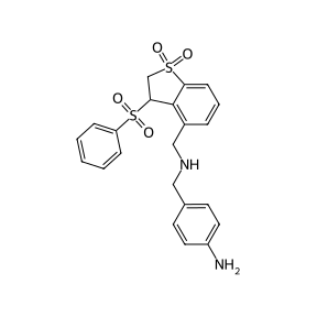 Nc1ccc(CNCc2cccc3c2C(S(=O)(=O)c2ccccc2)CS3(=O)=O)cc1